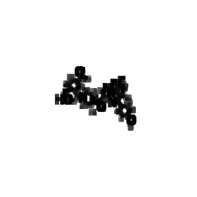 COc1ccc(-c2nc3c(C(=O)N4CCN([C@H](CO)c5cc(C(C)=O)ccc5F)C[C@H]4C)cnn3c(C(F)(F)F)c2C)cc1